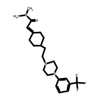 CN(C)C(=O)C=C1CCC(CCN2CCN(c3cccc(C(F)(F)F)c3)CC2)CC1